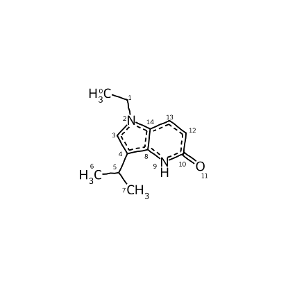 CCn1cc(C(C)C)c2[nH]c(=O)ccc21